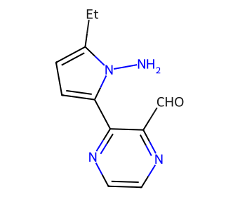 CCc1ccc(-c2nccnc2C=O)n1N